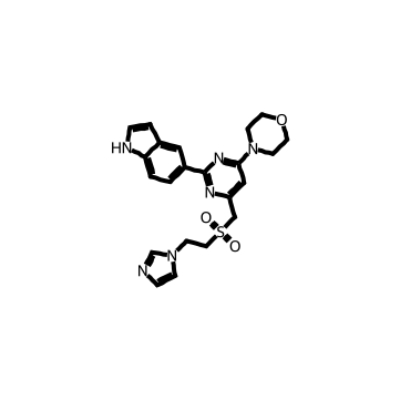 O=S(=O)(CCn1ccnc1)Cc1cc(N2CCOCC2)nc(-c2ccc3[nH]ccc3c2)n1